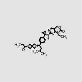 C=CC(=O)N1CC2(C1)CN(C(CC(C)C)c1ccc(C3(Nc4ncc5c(n4)N(CC)C(=O)OC5)CC3)cc1)C2